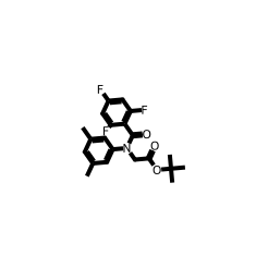 Cc1cc(C)cc(N(CC(=O)OC(C)(C)C)C(=O)c2c(F)cc(F)cc2F)c1